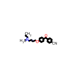 C=CCN(C)C/C=C/COc1ccc(C(=O)c2ccc(C#N)cc2)cc1